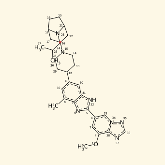 COc1cc(-c2nc3c(C)cc(C4CCN(C5CC6CCC(C5)N6CC(C)C)CC4)cc3[nH]2)cn2ncnc12